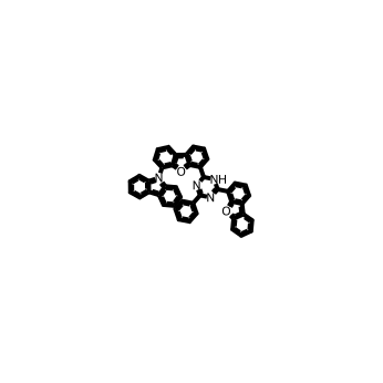 c1ccc(C2=NC(c3cccc4c3oc3c(-n5c6ccccc6c6ccccc65)cccc34)NC(c3cccc4c3oc3ccccc34)=N2)cc1